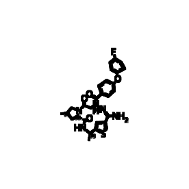 C[C@@H]1C[C@@H](C(=O)N[C@H](C)c2cc(C(=N)N)cs2)N(C(=O)CNC(=O)c2ccc(Oc3ccc(F)cc3)cc2)C1